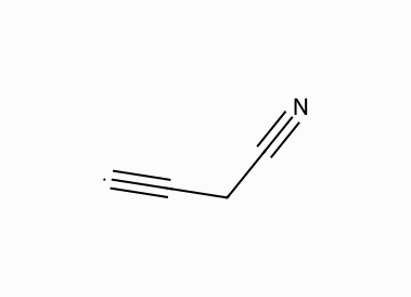 [C]#CCC#N